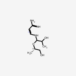 CC(O)C(N/C=C\C(=N)N)O[C@@H](C)CO